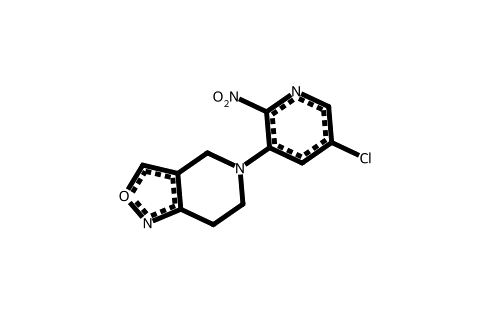 O=[N+]([O-])c1ncc(Cl)cc1N1CCc2nocc2C1